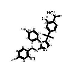 CC(O)c1ccc(C(C)(C)c2cnc(SCc3ccc(F)cc3Cl)n2-c2ccc(F)cc2)cc1Cl